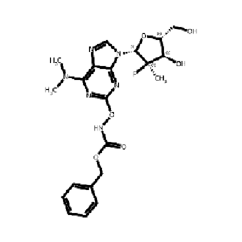 CN(C)c1nc(ONC(=O)OCc2ccccc2)nc2c1ncn2[C@@H]1O[C@H](CO)[C@@H](O)[C@@]1(C)F